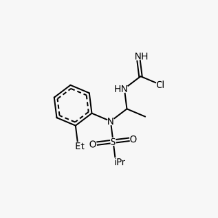 CCc1ccccc1N(C(C)NC(=N)Cl)S(=O)(=O)C(C)C